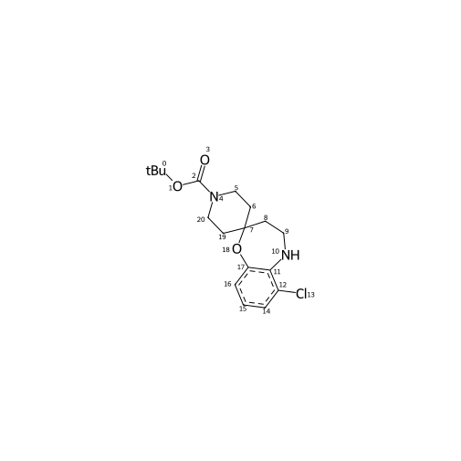 CC(C)(C)OC(=O)N1CCC2(CCNc3c(Cl)cccc3O2)CC1